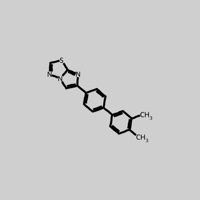 Cc1ccc(-c2ccc(-c3cn4ncsc4n3)cc2)cc1C